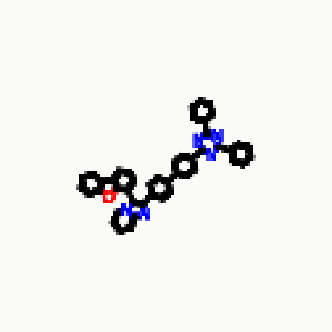 c1ccc(-c2nc(-c3ccccc3)nc(-c3ccc(-c4ccc(-c5nc6ccccn6c5-c5cccc6c5oc5ccccc56)cc4)cc3)n2)cc1